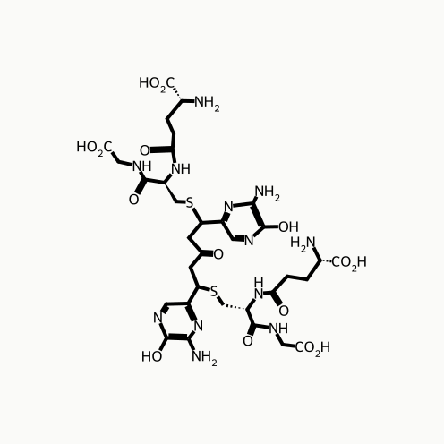 Nc1nc(C(CC(=O)CC(SC[C@H](NC(=O)CC[C@H](N)C(=O)O)C(=O)NCC(=O)O)c2cnc(O)c(N)n2)SC[C@H](NC(=O)CC[C@@H](N)C(=O)O)C(=O)NCC(=O)O)cnc1O